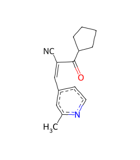 Cc1cc(C=C(C#N)C(=O)C2CCCC2)ccn1